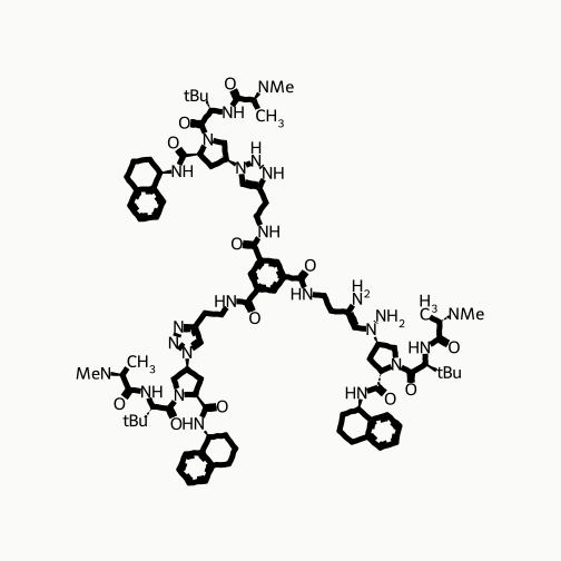 CN[C@@H](C)C(=O)N[C@H](C(=O)N1C[C@@H](N(N)/C=C(\N)CCNC(=O)c2cc(C(=O)NCCC3=CN([C@H]4C[C@@H](C(=O)N[C@@H]5CCCc6ccccc65)N(C(=O)[C@@H](NC(=O)[C@H](C)NC)C(C)(C)C)C4)NN3)cc(C(=O)NCCc3cn([C@H]4C[C@@H](C(=O)N[C@@H]5CCCc6ccccc65)N(C(=O)[C@@H](NC(=O)[C@H](C)NC)C(C)(C)C)C4)nn3)c2)C[C@H]1C(=O)N[C@@H]1CCCc2ccccc21)C(C)(C)C